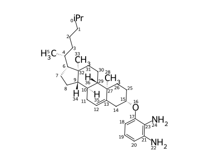 CC(C)CCC[C@@H](C)[C@H]1CC[C@H]2[C@@H]3CC=C4C[C@@H](Oc5cccc(N)c5N)CC[C@]4(C)[C@H]3CC[C@]12C